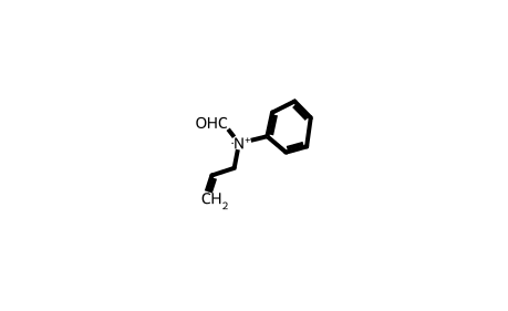 C=CC[N+](C=O)c1ccccc1